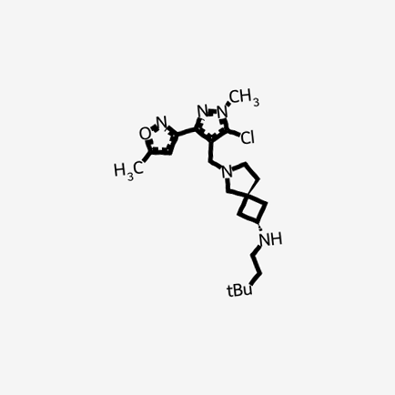 Cc1cc(-c2nn(C)c(Cl)c2CN2CC[C@]3(C2)C[C@@H](NCCC(C)(C)C)C3)no1